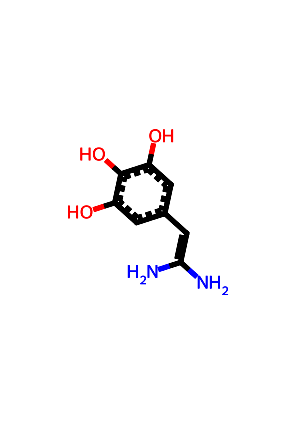 NC(N)=Cc1cc(O)c(O)c(O)c1